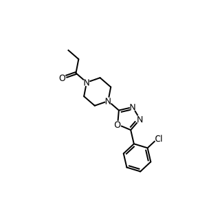 CCC(=O)N1CCN(c2nnc(-c3ccccc3Cl)o2)CC1